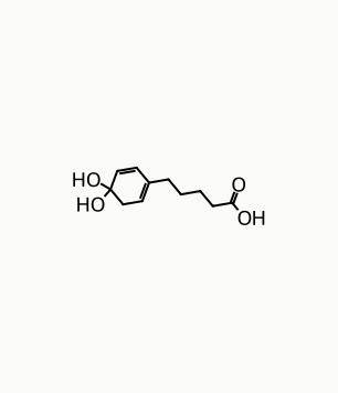 O=C(O)CCCCC1=CCC(O)(O)C=C1